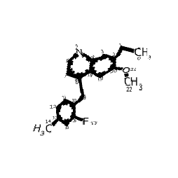 CCc1cc2nccc(Cc3ccc(C)cc3F)c2cc1OC